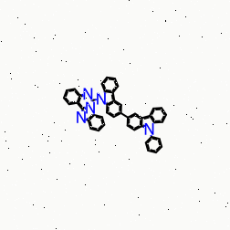 c1ccc(-n2c3ccccc3c3cc(-c4ccc5c(c4)c4ccccc4n5-c4nc5ccccc5c5nc6ccccc6n45)ccc32)cc1